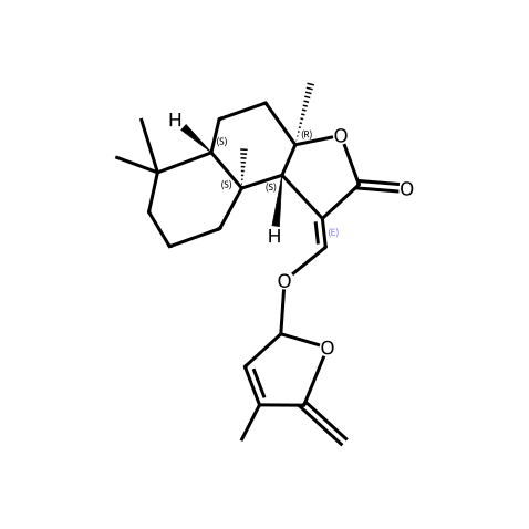 C=C1OC(O/C=C2/C(=O)O[C@]3(C)CC[C@H]4C(C)(C)CCC[C@]4(C)[C@@H]23)C=C1C